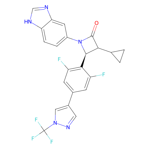 O=C1C(C2CC2)[C@@H](c2c(F)cc(-c3cnn(C(F)(F)F)c3)cc2F)N1c1ccc2[nH]cnc2c1